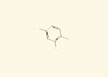 CCC(C)c1ccc(C(C)CC)c([N+](=O)[O-])c1